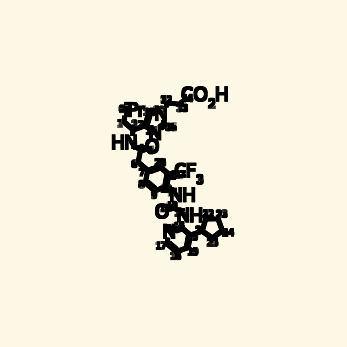 CC(C)CC(NC(=O)Cc1ccc(NC(=O)Nc2ncccc2C2CCCC2)c(C(F)(F)F)c1)c1cn(CCC(=O)O)cn1